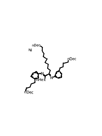 CCCCCCCCCCCCCCCCCCCC(=N\c1cccc(CCCCCCCCCCCCCC)c1)/C(CCCCCC)=N/c1cccc(CCCCCCCCCCCCCC)c1.[Ni]